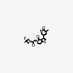 Cc1cc(-c2csc3ccn(CC(=O)N4CC(C)(F)C4)c(=O)c23)cnc1Cl